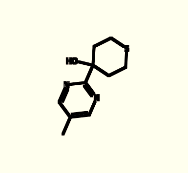 Cc1cnc(C2(O)CCSCC2)nc1